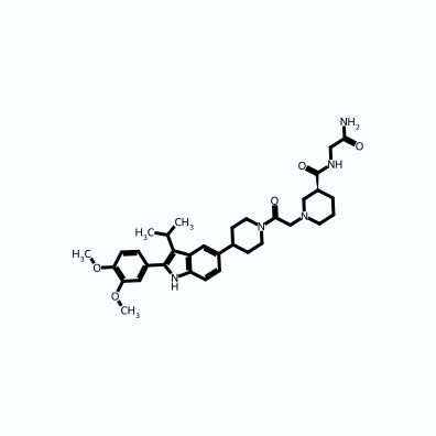 COc1ccc(-c2[nH]c3ccc(C4CCN(C(=O)CN5CCC[C@H](C(=O)NCC(N)=O)C5)CC4)cc3c2C(C)C)cc1OC